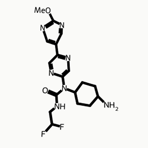 COc1ncc(-c2cnc(N(C(=O)NCC(F)F)C3CCC(N)CC3)cn2)cn1